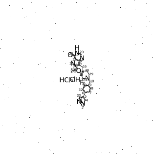 Cl.Cl.Cn1cc(-c2ccc(CN3CCC(O)(Cc4c5nc[nH]c(=O)c5nn4C)CC3)c(F)c2)cn1